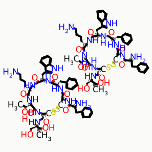 CC(O)[C@@H]1NC(=O)[C@H](CCCCN)NC(=O)[C@@H](Cc2c[nH]c3ccccc23)NC(=O)[C@H](Cc2ccccc2)NC(=O)[C@@H](NC(=O)[C@H](N)Cc2ccccc2)CSSC[C@@H](C(=O)N[C@H](CO)[C@@H](C)O)NC1=O.CC(O)[C@@H]1NC(=O)[C@H](CCCCN)NC(=O)[C@@H](Cc2c[nH]c3ccccc23)NC(=O)[C@H](Cc2ccccc2)NC(=O)[C@@H](NC(=O)[C@H](N)Cc2ccccc2)CSSC[C@@H](C(=O)N[C@H](CO)[C@@H](C)O)NC1=O